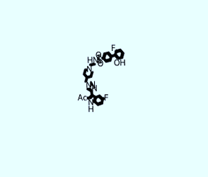 CC(=O)c1[nH]c2ccc(F)cc2c1-c1cn(CC2CCN(CCNS(=O)(=O)c3ccc(-c4c(O)cccc4F)cc3)CC2)nn1